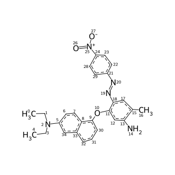 CCN(CC)c1ccc2c(Oc3cc(N)c(C)cc3/N=N/c3ccc([N+](=O)[O-])cc3)cccc2c1